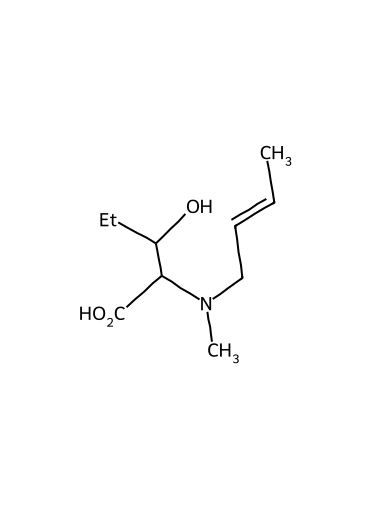 C/C=C/CN(C)C(C(=O)O)C(O)CC